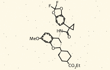 CCOC(=O)[C@H]1CC[C@@H]([C@H]2C[C@@H](NC(=O)C3(c4ccc5c(c4)OC(F)(F)O5)CC3)c3ccc(OC)cc3O2)CC1